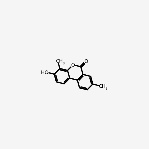 Cc1ccc2c(c1)c(=O)oc1c(C)c(O)ccc12